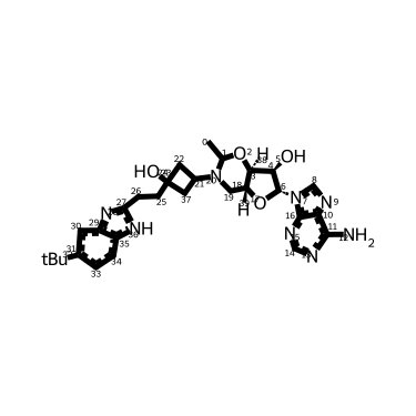 CC1O[C@H]2[C@@H](O)[C@H](n3cnc4c(N)ncnc43)O[C@@H]2CN1C1CC(O)(CCc2nc3cc(C(C)(C)C)ccc3[nH]2)C1